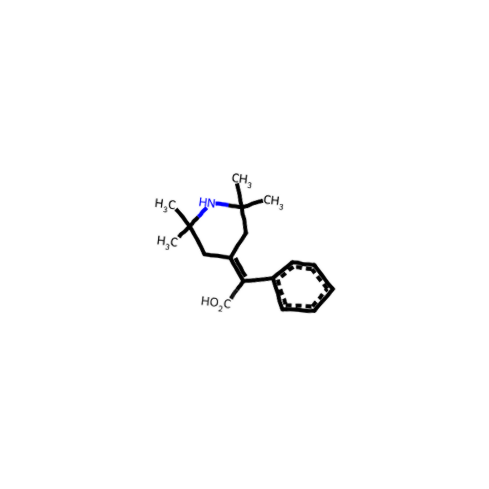 CC1(C)CC(=C(C(=O)O)c2ccccc2)CC(C)(C)N1